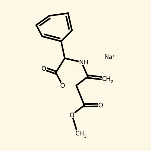 C=C(CC(=O)OC)NC(C(=O)[O-])c1ccccc1.[Na+]